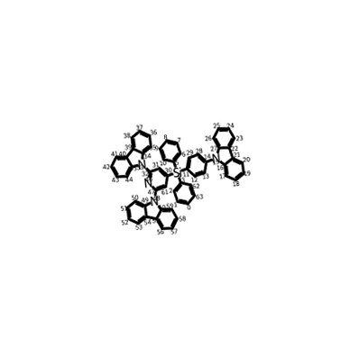 c1ccc([Si](c2ccccc2)(c2ccc(-n3c4ccccc4c4ccccc43)cc2)c2cc(-n3c4ccccc4c4ccccc43)nc(-n3c4ccccc4c4ccccc43)c2)cc1